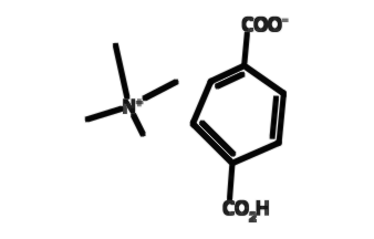 C[N+](C)(C)C.O=C([O-])c1ccc(C(=O)O)cc1